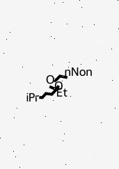 CCCCCCCCCCCC(=O)OC(C)(CC)CCCC(C)C